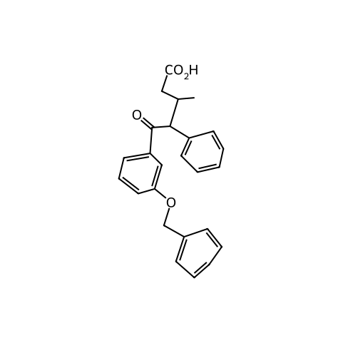 CC(CC(=O)O)C(C(=O)c1cccc(OCc2ccccc2)c1)c1ccccc1